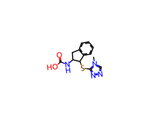 Cn1cnnc1SC1c2ccccc2CC1NC(=O)O